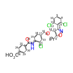 CC(C)c1onc(-c2c(Cl)cccc2Cl)c1COCc1ccc(NC(=O)c2ccc(C(=O)O)cc2)c(Cl)c1